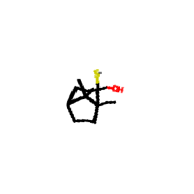 CC1(C)C2CCC1(C)C(O)([S])C2